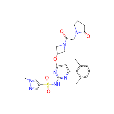 Cc1cccc(C)c1-c1cc(OC2CN(C(=O)CN3CCCC3=O)C2)nc(NS(=O)(=O)c2cnn(C)c2)n1